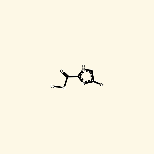 CCOC(=O)c1nc([O])c[nH]1